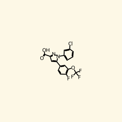 O=C(O)c1cc(-c2ccc(F)c(OC(F)(F)F)c2)n(-c2cccc(Cl)c2)n1